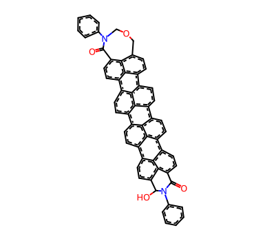 O=C1c2ccc3c4ccc5c6ccc7c8ccc9c%10c(ccc(c%11ccc(c%12ccc(c%13ccc(c2c%133)COCN1c1ccccc1)c4c%125)c6c%117)c%108)C(=O)N(c1ccccc1)C9O